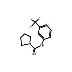 N=C(Nc1cccc(C(F)(F)F)c1)N1CCCC1